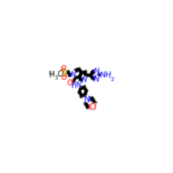 CS(=O)(=O)CCN1C=Cc2cc(-c3cnc(N)nc3)nc(Nc3ccc(N4CCOCC4)cc3)c2C1C=O